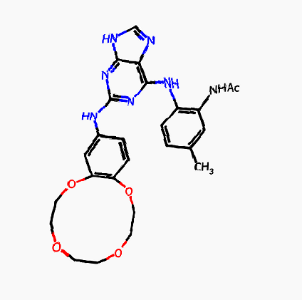 CC(=O)Nc1cc(C)ccc1Nc1nc(Nc2ccc3c(c2)OCCOCCOCCO3)nc2[nH]cnc12